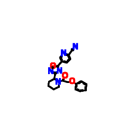 N#Cc1ccc(-c2nc(C3CCCCN3C(=O)COc3ccccc3)no2)cn1